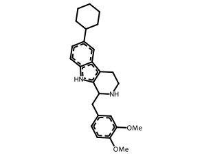 COc1ccc(CC2NCCc3c2[nH]c2ccc(C4CCCCC4)cc32)cc1OC